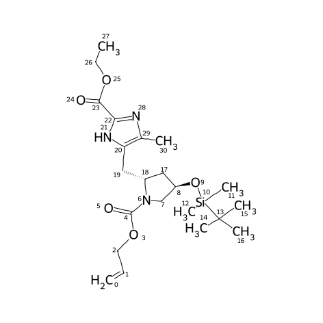 C=CCOC(=O)N1C[C@H](O[Si](C)(C)C(C)(C)C)C[C@H]1Cc1[nH]c(C(=O)OCC)nc1C